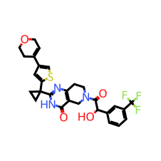 O=C(C(O)c1cccc(C(F)(F)F)c1)N1CCc2nc(C3(c4cc(C5=CCOCC5)cs4)CC3)[nH]c(=O)c2C1